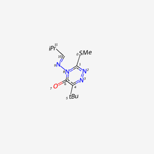 CSc1nnc(C(C)(C)C)c(=O)n1/N=C/C(C)C